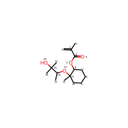 C=C(C)C(=O)OC1CCCCC1(C)OC(C)C(C)(C)O